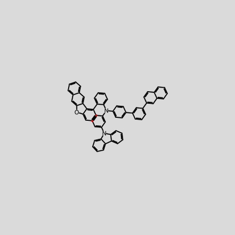 c1cc(-c2ccc(N(c3cccc(-n4c5ccccc5c5ccccc54)c3)c3ccccc3-c3cccc4oc5cc6ccccc6cc5c34)cc2)cc(-c2ccc3ccccc3c2)c1